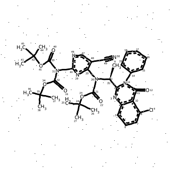 C[C@@H](c1nc2cccc(Cl)c2c(=O)n1-c1ccccc1)N(C(=O)OC(C)(C)C)c1nc(N(C(=O)OC(C)(C)C)C(=O)OC(C)(C)C)ncc1C#N